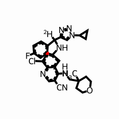 [2H]C(Nc1cc(Cl)c2ncc(C#N)c(NCC3(C)CCOCC3)c2c1)(c1ccc(F)cc1)c1cn(C2CC2)nn1